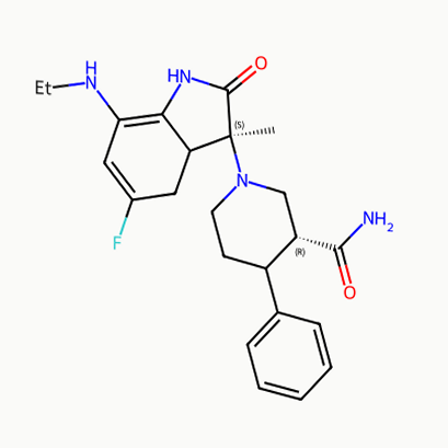 CCNC1=C2NC(=O)[C@@](C)(N3CCC(c4ccccc4)[C@@H](C(N)=O)C3)C2CC(F)=C1